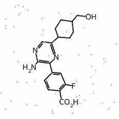 Nc1ncc(C2CCC(CO)CC2)nc1-c1ccc(C(=O)O)c(F)c1